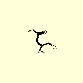 COC(=O)CC(C)CC#N